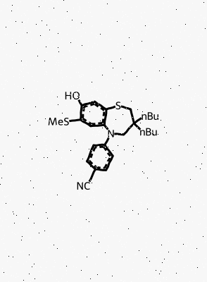 CCCCC1(CCCC)CSc2cc(O)c(SC)cc2N(c2ccc(C#N)cc2)C1